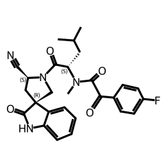 CC(C)C[C@@H](C(=O)N1C[C@]2(C[C@H]1C#N)C(=O)Nc1ccccc12)N(C)C(=O)C(=O)c1ccc(F)cc1